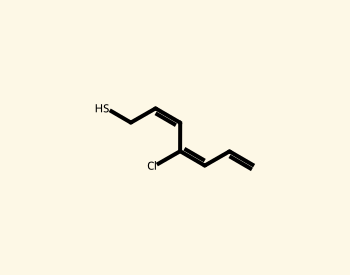 C=C/C=C(Cl)\C=C/CS